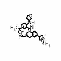 CC(=O)N1CCC(N[C@H]2CCOC2)=C(C(=N)N2C[C@H](CC(F)F)Cc3cc(C4C=NN(C)C4)ccc32)C1